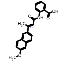 COc1ccc2cc(/C(C)=C/C(=O)Nc3ccccc3C(=O)O)ccc2c1